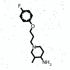 CC1CN(CCCOc2ccc(F)cc2)CCC1N